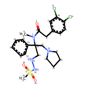 CN(C(=O)Cc1ccc(Cl)c(Cl)c1)C(CNNS(C)(=O)=O)(CN1CCCC1)c1ccccc1